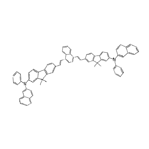 CC1(C)c2cc(/C=C/c3ccc(/C=C/c4ccc5c(c4)C(C)(C)c4cc(N(c6ccccc6)c6ccc7ccccc7c6)ccc4-5)c4ccccc34)ccc2-c2ccc(N(c3ccccc3)c3ccc4ccccc4c3)cc21